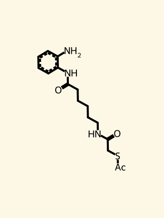 CC(=O)SCC(=O)NCCCCCC(=O)Nc1ccccc1N